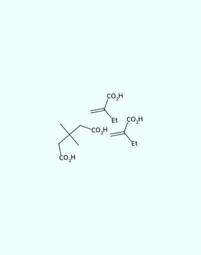 C=C(CC)C(=O)O.C=C(CC)C(=O)O.CC(C)(CC(=O)O)CC(=O)O